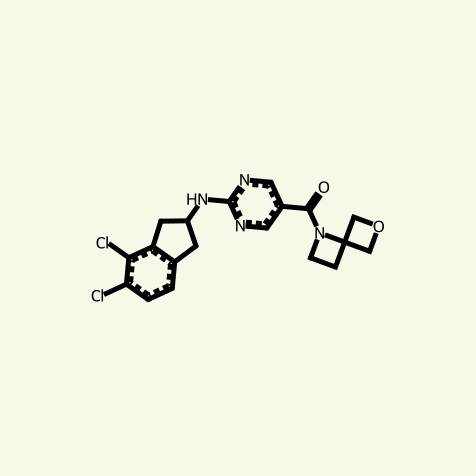 O=C(c1cnc(NC2Cc3ccc(Cl)c(Cl)c3C2)nc1)N1CCC12COC2